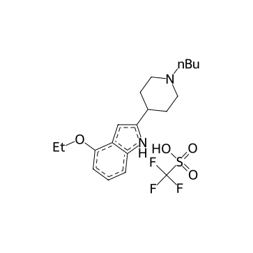 CCCCN1CCC(c2cc3c(OCC)cccc3[nH]2)CC1.O=S(=O)(O)C(F)(F)F